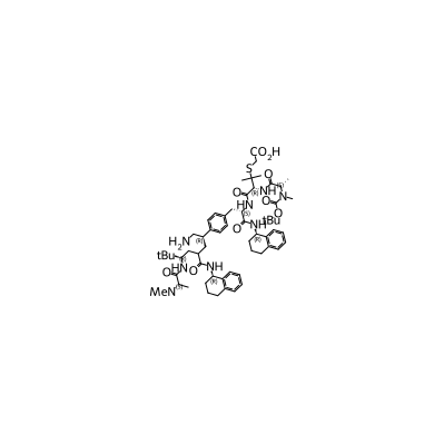 CN[C@@H](C)C(=O)N[C@H](CC(C[C@@H](CN)c1ccc(C[C@H](NC(=O)[C@@H](NC(=O)[C@H](C)N(C)C(=O)OC(C)(C)C)C(C)(C)SCC(=O)O)C(=O)N[C@@H]2CCCc3ccccc32)cc1)C(=O)N[C@@H]1CCCc2ccccc21)C(C)(C)C